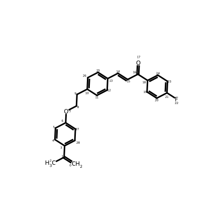 C=C(C)c1ccc(OCCc2ccc(C=CC(=O)c3ccc(F)cc3)cc2)cc1